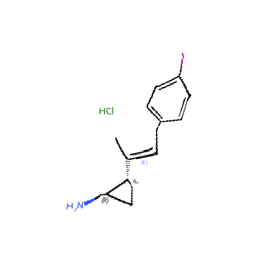 C/C(=C\c1ccc(I)cc1)[C@@H]1C[C@H]1N.Cl